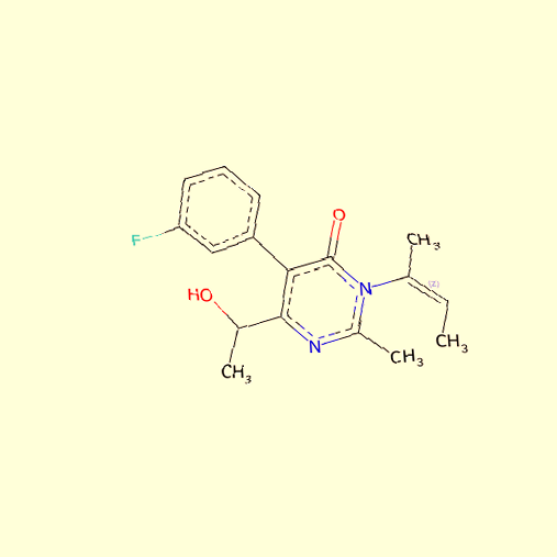 C/C=C(/C)n1c(C)nc(C(C)O)c(-c2cccc(F)c2)c1=O